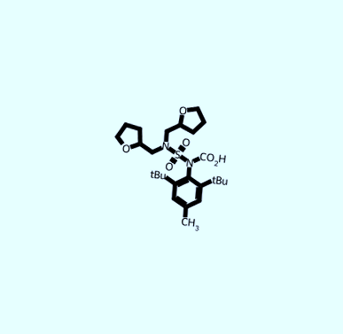 Cc1cc(C(C)(C)C)c(N(C(=O)O)S(=O)(=O)N(CC2CCCO2)CC2CCCO2)c(C(C)(C)C)c1